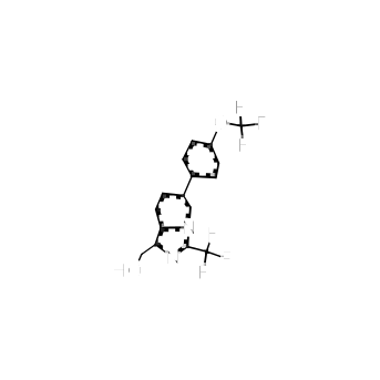 OCc1nc(C(F)(F)F)n2cc(-c3ccc(OC(F)(F)F)cc3)ccc12